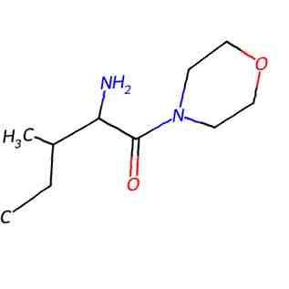 CCC(C)C(N)C(=O)N1CCOCC1